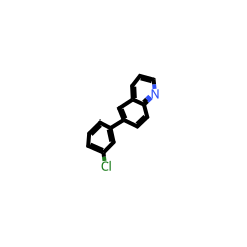 Clc1cc[c]c(-c2ccc3ncccc3c2)c1